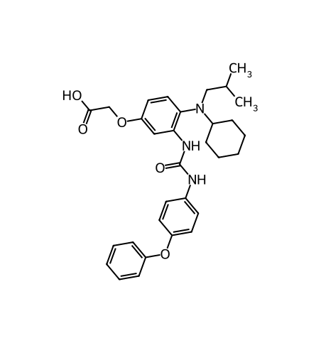 CC(C)CN(c1ccc(OCC(=O)O)cc1NC(=O)Nc1ccc(Oc2ccccc2)cc1)C1CCCCC1